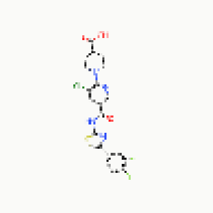 O=C(Nc1nc(-c2ccc(F)c(F)c2)cs1)c1cnc(N2CCC(C(=O)O)CC2)c(Cl)c1